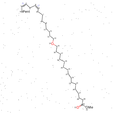 CCCCC/C=C\C/C=C\CCCCCCCCOCCCCCCCCCCCCCCCC(=O)OC